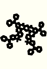 CC1(C)c2cc(N(c3ccccc3)c3ccccc3)ccc2-c2c1ccc1c2Sc2cc(N(c3ccccc3)c3ccccc3)cc3c2B1c1cc2c(cc1S3)Sc1cc(N(c3ccccc3)c3ccccc3)cc3c1B2c1ccc2c(c1S3)-c1ccc(N(c3ccccc3)c3ccccc3)cc1C2(C)C